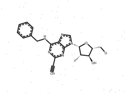 C#Cc1nc(NCc2ccccc2)c2ncn([C@@H]3O[C@H](C[O])[C@@H](O)[C@@H]3F)c2n1